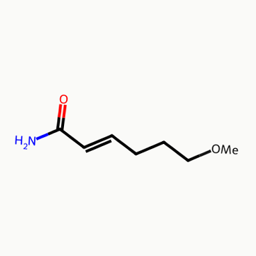 COCCCC=CC(N)=O